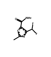 CNC(=O)c1sc(C)nc1C(F)F